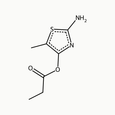 CCC(=O)Oc1nc(N)sc1C